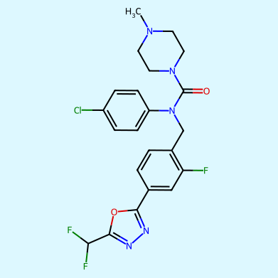 CN1CCN(C(=O)N(Cc2ccc(-c3nnc(C(F)F)o3)cc2F)c2ccc(Cl)cc2)CC1